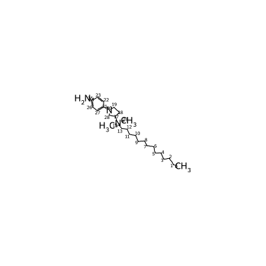 CCCCCCCCCCCCCC[N+](C)(C)C1CCN(c2ccc(N)cc2)C1